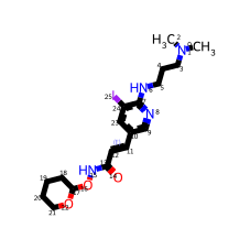 CN(C)CCCNc1ncc(/C=C/C(=O)NOC2CCCCO2)cc1I